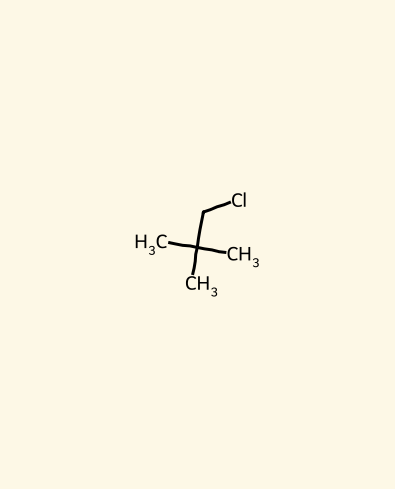 CC(C)(C)CCl